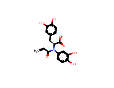 C=CC(=O)N(c1ccc(O)c(O)c1)[C@@H](Cc1ccc(O)c(O)c1)C(=O)O